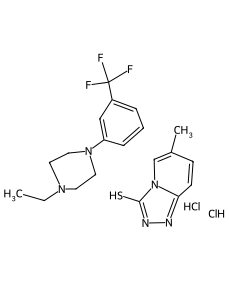 CCN1CCN(c2cccc(C(F)(F)F)c2)CC1.Cc1ccc2nnc(S)n2c1.Cl.Cl